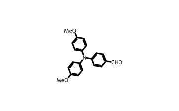 COc1ccc(N(c2ccc(C=O)cc2)c2ccc(OC)cc2)cc1